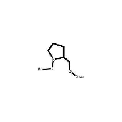 COOCC1CCCN1SC(C)C